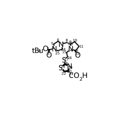 CC(C)(C)OC(=O)N1CCN(C[C@H]2CCC(=O)N2CCSc2nc(C(=O)O)cs2)CC1